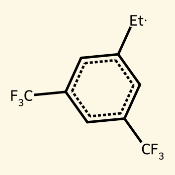 C[CH]c1cc(C(F)(F)F)cc(C(F)(F)F)c1